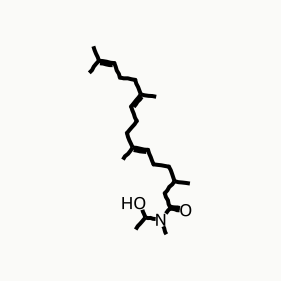 CC(C)=CCCC(C)=CCCC(C)=CCCC(C)CC(=O)N(C)C(C)O